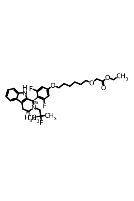 CCOC(=O)COCCCCCCOc1cc(F)c([C@@H]2c3[nH]c4ccccc4c3C[C@@H](C)N2CC(C)(C)F)c(F)c1